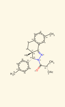 CC(=O)O[C@@H](C)C(=O)N1N=C2c3cc(C)ccc3CC[C@H]2[C@H]1c1ccc(C)cc1